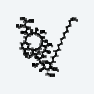 CCCCCCCCCCCCCCCC(=O)N(C)[C@H](CO)C(=O)N[C@H](C)C(=O)NCC(=O)N(C)[C@@H]1C(=O)N[C@@H](C)C(=O)N[C@H](C(=O)N[C@@H](C)B(O)O)Cc2ccc(O)c(c2)-c2cc1ccc2C